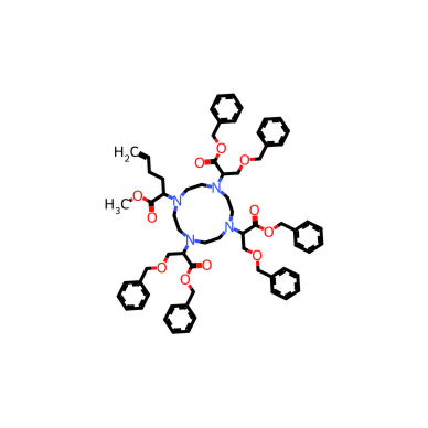 C=CCCC(C(=O)OC)N1CCN(C(COCc2ccccc2)C(=O)OCc2ccccc2)CCN(C(COCc2ccccc2)C(=O)OCc2ccccc2)CCN(C(COCc2ccccc2)C(=O)OCc2ccccc2)CC1